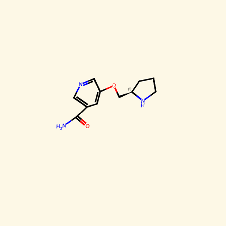 NC(=O)c1cncc(OC[C@H]2CCCN2)c1